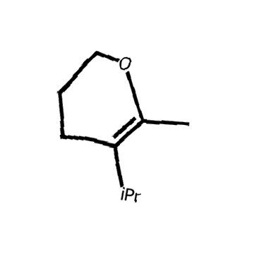 CC1=C(C(C)C)CCCO1